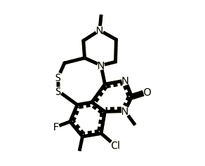 Cc1c(F)c2c3c(nc(=O)n(C)c3c1Cl)N1CCN(C)CC1CSS2